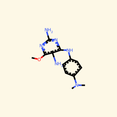 COc1nc(N)nc(Nc2ccc(N(C)C)cc2)c1N